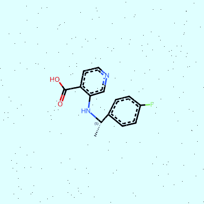 C[C@H](Nc1cnccc1C(=O)O)c1ccc(F)cc1